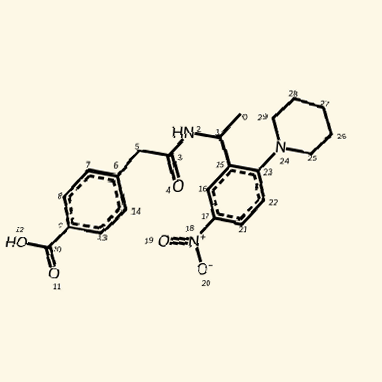 CC(NC(=O)Cc1ccc(C(=O)O)cc1)c1cc([N+](=O)[O-])ccc1N1CCCCC1